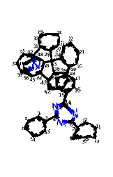 c1ccc(-c2nc(-c3ccccc3)nc(-c3ccc(-c4ccccc4C4(c5ccccc5-c5ccccn5)c5ccccc5-c5ccccc54)cc3)n2)cc1